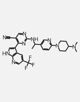 CC(Nc1ncc(C#N)c(-c2c[nH]c3ncc(C(F)(F)F)cc23)n1)c1ccc(N2CCC(N(C)C)CC2)nc1